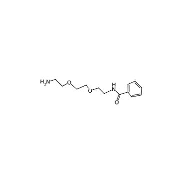 NCCOCCOCCNC(=O)c1c[c]ccc1